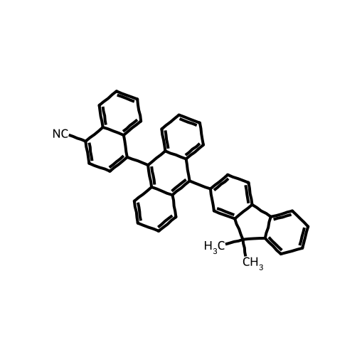 CC1(C)c2ccccc2-c2ccc(-c3c4ccccc4c(-c4ccc(C#N)c5ccccc45)c4ccccc34)cc21